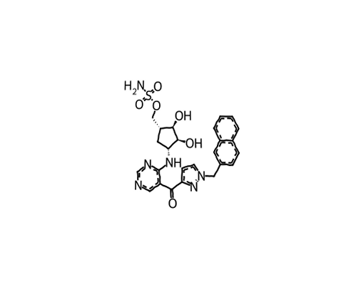 NS(=O)(=O)OC[C@H]1C[C@@H](Nc2ncncc2C(=O)c2ccn(Cc3ccc4ccccc4c3)n2)[C@H](O)[C@@H]1O